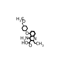 CCc1nc2cccc(O[C@H]3CC[C@H](COC)CC3)c2c(N)c1C(=O)O